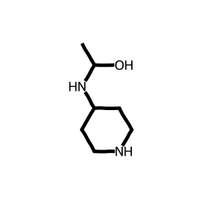 CC(O)NC1CCNCC1